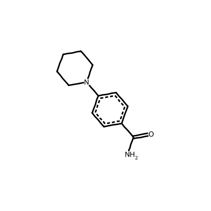 NC(=O)c1ccc(N2CCCCC2)cc1